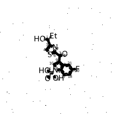 CC[C@@H](O)c1csc(C(=O)c2cn(P(=O)(O)O)c3ccc(F)cc23)n1